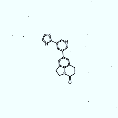 O=C1CCc2cc(-c3cncc(-c4nccs4)c3)cc3c2N1CC3